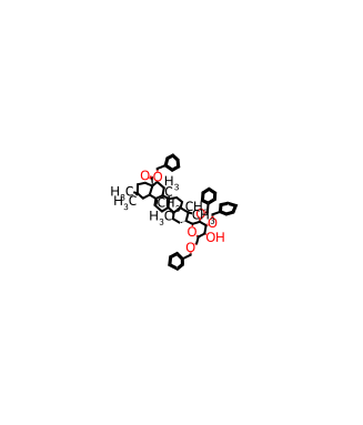 CC1(C)CC[C@]2(C(=O)OCc3ccccc3)CC[C@]3(C)C(=CCC4[C@@]5(C)CC[C@@H]([C@@H]6OC(COCc7ccccc7)[C@@H](O)C(OCc7ccccc7)C6OCc6ccccc6)C(C)(C)C5CC[C@]43C)C2C1